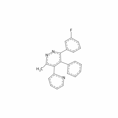 Cc1nnc(-c2cccc(F)c2)c(-c2ccccc2)c1-c1ccccn1